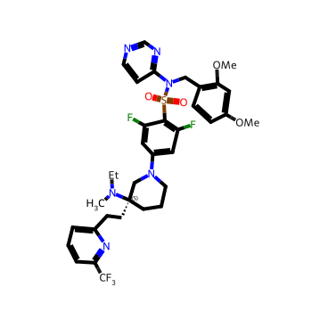 CCN(C)[C@]1(CCc2cccc(C(F)(F)F)n2)CCCN(c2cc(F)c(S(=O)(=O)N(Cc3ccc(OC)cc3OC)c3ccncn3)c(F)c2)C1